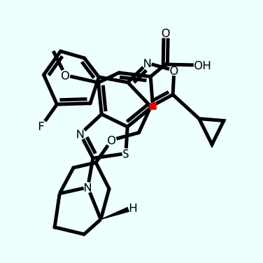 COc1cc(C(=O)O)cc2sc(N3C4CC[C@H]3CC(OCc3c(-c5cccc(F)c5)noc3C3CC3)C4)nc12